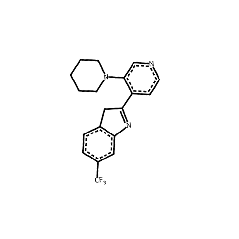 FC(F)(F)c1ccc2c(c1)N=C(c1ccncc1N1CCCCC1)C2